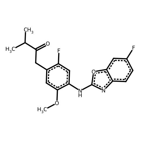 COc1cc(CC(=O)C(C)C)c(F)cc1Nc1nc2ccc(F)cc2o1